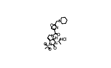 CC(C)[C@@H]1C(=O)N(S(C)(=O)=O)C2=CCN(C(=O)c3coc(CN4CCCCC4)n3)[C@H]21.Cl